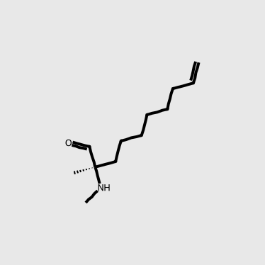 C=CCCCCCC[C@](C)(C=O)NC